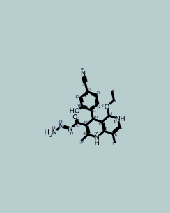 CCOC1NC=C(C)C2=C1C(c1ccc(C#N)cc1O)C(C(=O)N=NN)=C(C)N2